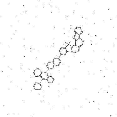 CC1(C)c2ccc(-c3ccc4cc(-c5c6ccccc6c(-c6ccccc6)c6ccccc56)ccc4c3)cc2-c2ccc3ccc4c5ccccc5oc4c3c21